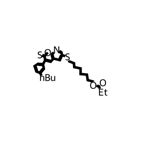 CCCCc1cccc(-c2cc3cc(SCCCCCCCCOC(=O)CC)cnc3oc2=S)c1